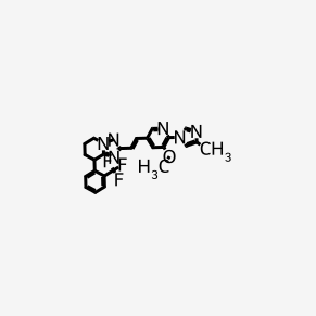 COc1cc(/C=C/c2nc3n(n2)CCCC3c2ccccc2C(F)(F)F)cnc1-n1cnc(C)c1